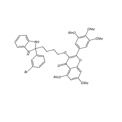 COc1cc(OC)c2c(=O)c(OCCCCC3(c4cccc(Br)c4)Nc4ccccc4N3)c(-c3cc(OC)c(OC)c(OC)c3)oc2c1